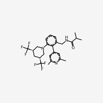 Cc1cc(-c2c(CNC(=O)C(C)C)cccc2N2C[C@H](C(F)(F)F)C[C@H](C(F)(F)F)C2)cc(C)n1